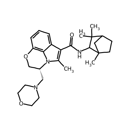 Cc1c(C(=O)NC2C3(C)CCC(C3)C2(C)C)c2cccc3c2n1[C@H](CN1CCOCC1)CO3